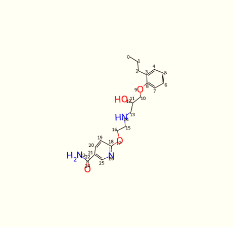 CCCc1ccccc1OCC(O)CNCCOc1ccc(C(N)=O)cn1